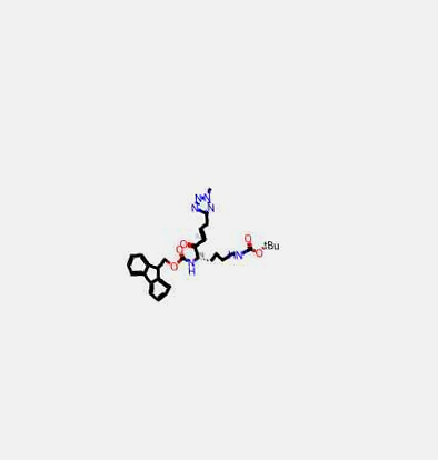 Cn1nnc(C/C=C/C(=O)[C@H](CCCCNC(=O)OC(C)(C)C)NC(=O)OCC2c3ccccc3-c3ccccc32)n1